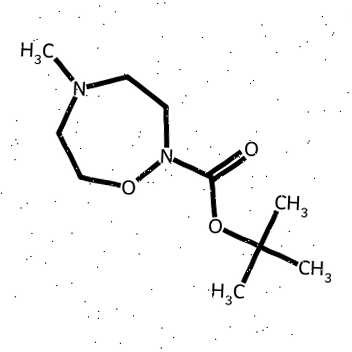 CN1CCON(C(=O)OC(C)(C)C)CC1